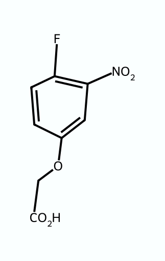 O=C(O)COc1ccc(F)c([N+](=O)[O-])c1